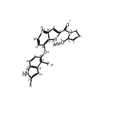 COC1CCCN1C(=O)c1cc2nccc(Oc3ccc4[nH]c(C)cc4c3F)c2s1